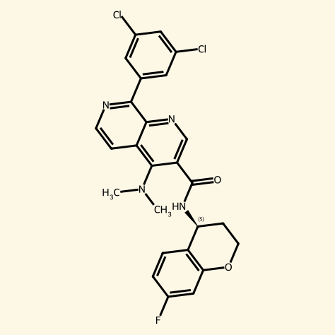 CN(C)c1c(C(=O)N[C@H]2CCOc3cc(F)ccc32)cnc2c(-c3cc(Cl)cc(Cl)c3)nccc12